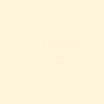 c1ccc2c(-c3conc3-c3n[nH]c4ccccc34)n[nH]c2c1